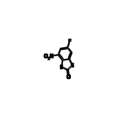 O=c1sc2cc(F)cc([N+](=O)[O-])c2s1